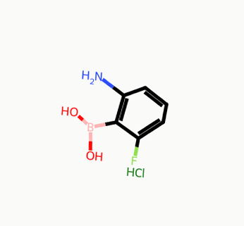 Cl.Nc1cccc(F)c1B(O)O